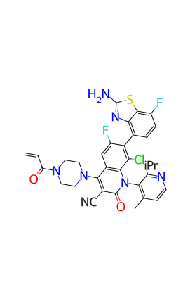 C=CC(=O)N1CCN(c2c(C#N)c(=O)n(-c3c(C)ccnc3C(C)C)c3c(Cl)c(-c4ccc(F)c5sc(N)nc45)c(F)cc23)CC1